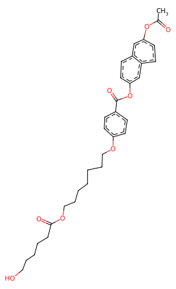 CC(=O)Oc1ccc2cc(OC(=O)c3ccc(OCCCCCCCOC(=O)CCCCCO)cc3)ccc2c1